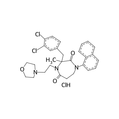 CC1(Cc2ccc(Cl)c(Cl)c2)C(=O)N(c2cccc3ccccc23)CCC(=O)N1CCN1CCOCC1.Cl